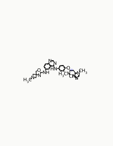 C=N/C(=C\c1nncn1C)Oc1ccc(Nc2ncnc3ccc(NC4=NC5(CO4)CN(C)C5)cc23)cc1C